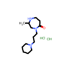 CC1CN(CCCN2CCCCC2)C(=O)CCN1.Cl.Cl